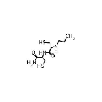 CCCN[C@@H](CS)C(=O)N[C@@H](CS)C(N)=O